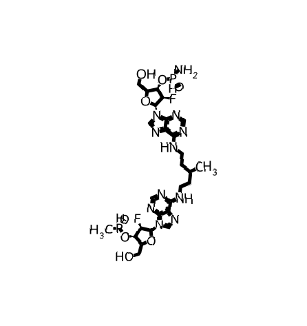 CC(CCNc1ncnc2c1ncn2C1OC(CO)[C@@H](O[PH](C)=O)[C@H]1F)CCNc1ncnc2c1ncn2[C@@H]1OC(CO)[C@@H](O[PH](N)=O)[C@H]1F